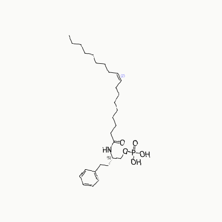 CCCCCCCC/C=C\CCCCCCCC(=O)N[C@@H](CCc1ccccc1)COP(=O)(O)O